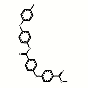 COC(=O)c1ccc(Oc2ccc(C(=O)Oc3ccc(Sc4ccc(C)cc4)cc3)cc2)cc1